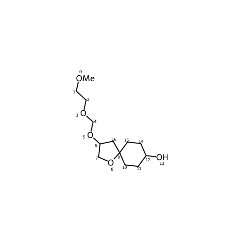 COCCOCOC1COC2(CCC(O)CC2)C1